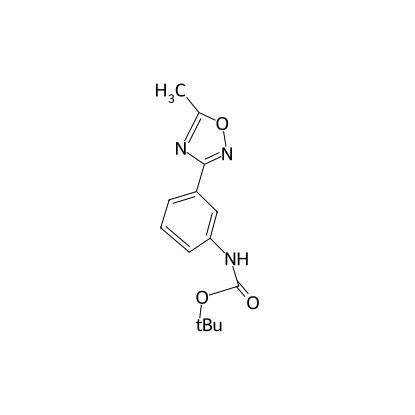 Cc1nc(-c2cccc(NC(=O)OC(C)(C)C)c2)no1